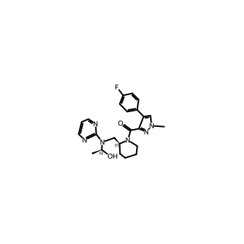 C[C@H](O)N(C[C@@H]1CCCCN1C(=O)c1nn(C)cc1-c1ccc(F)cc1)c1ncccn1